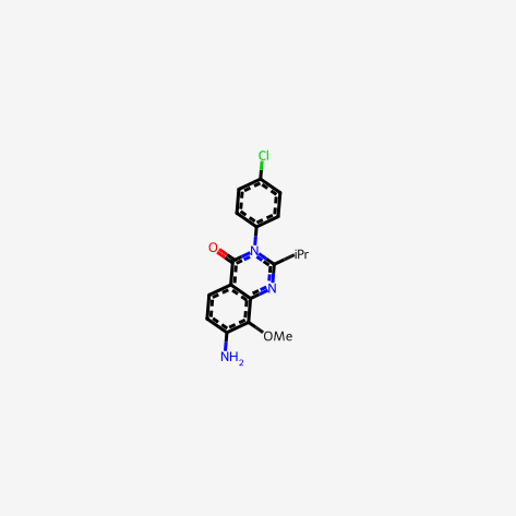 COc1c(N)ccc2c(=O)n(-c3ccc(Cl)cc3)c(C(C)C)nc12